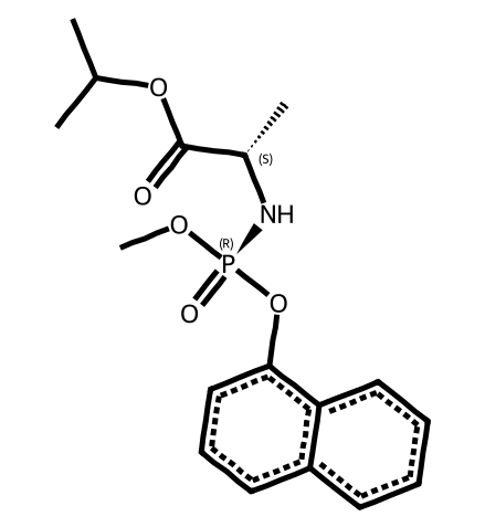 CO[P@](=O)(N[C@@H](C)C(=O)OC(C)C)Oc1cccc2ccccc12